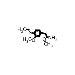 CCSc1ccc(CC(N)OC)cc1OC